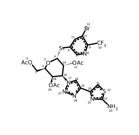 CC(=O)OC[C@H]1O[C@H](Sc2cnc(C(F)(F)F)c(Br)c2)[C@H](OC(C)=O)[C@@H](n2cc(-c3csc(N)n3)nn2)[C@H]1OC(C)=O